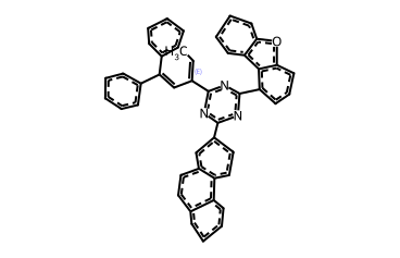 C/C=C(\C=C(c1ccccc1)c1ccccc1)c1nc(-c2ccc3c(ccc4ccccc43)c2)nc(-c2cccc3oc4ccccc4c23)n1